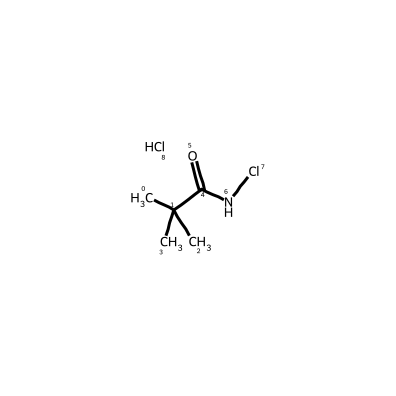 CC(C)(C)C(=O)NCl.Cl